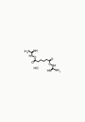 Cl.N=C(N)NOC(=O)CCCCC(=O)ONC(=N)N